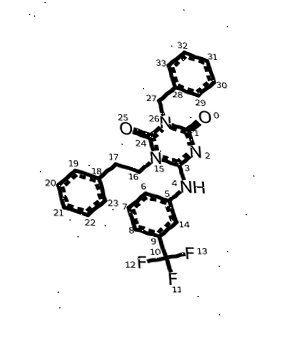 O=c1nc(Nc2cccc(C(F)(F)F)c2)n(CCc2ccccc2)c(=O)n1Cc1ccccc1